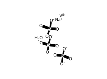 O.O=S(=O)([O-])[O-].O=S(=O)([O-])[O-].O=S(=O)([O-])[O-].[Na+].[V+5]